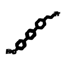 CCOc1ccc(-c2ccc(C3CCC(CCC(C)C)CC3)cc2)cc1